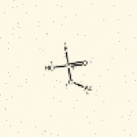 CC(=O)OP(=O)(O)F